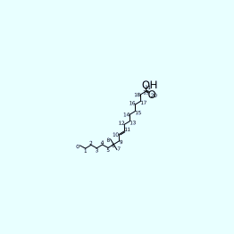 CCCCCCC(C)(C)C/C=C/CCCCCCCC(=O)O